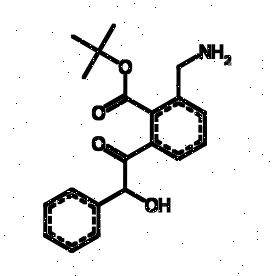 CC(C)(C)OC(=O)c1c(CN)cccc1C(=O)C(O)c1ccccc1